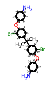 CC(C)(c1ccc(Oc2ccc(N)cc2)c(Br)c1)c1ccc(Oc2ccc(N)cc2)c(Br)c1